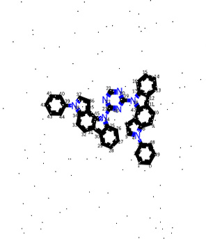 c1ccc(-n2ccc3c2ccc2c4ccccc4n(-c4ncnc(-n5c6ccccc6c6ccc7c(ccn7-c7ccccc7)c65)n4)c23)cc1